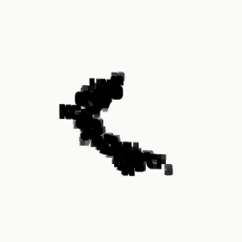 C=CC(=O)Nc1ccc(CCn2c(C#N)cc3c(C)c(CN4CCC(Nc5ncnc6sc(CC(F)(F)F)cc56)CC4)ccc32)c(P(C)(C)=O)c1